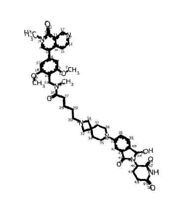 COc1cc(-c2cn(C)c(=O)c3cnccc23)cc(OC)c1CN(C)C(=O)CCCCN1CC2(CCN(c3ccc4c(c3)C(=O)N(C3CCC(=O)NC3=O)C4O)CC2)C1